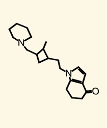 CC1C(CCn2ccc3c2CCCC3=O)CC1CN1CCCCC1